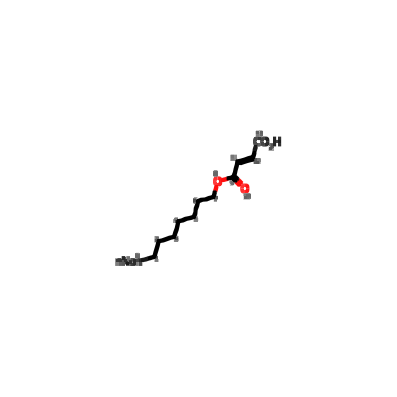 CCCCCCCCCCCCCCCCOC(=O)/C=C/C(=O)O